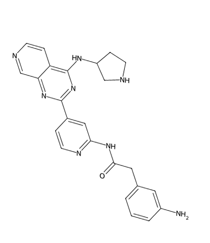 Nc1cccc(CC(=O)Nc2cc(-c3nc(NC4CCNC4)c4ccncc4n3)ccn2)c1